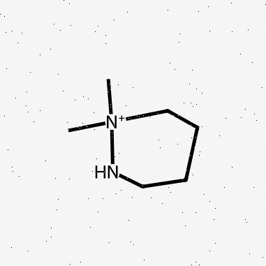 C[N+]1(C)CCCCN1